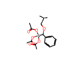 CC(=O)O[Si](OC(C)=O)(OC(C)=O)C(OCC(C)C)c1ccccc1